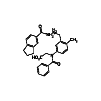 Cc1ccc(N(CC(=O)O)C(=O)c2ccccc2)cc1CN.NC(=O)c1ccc2c(c1)CCC2